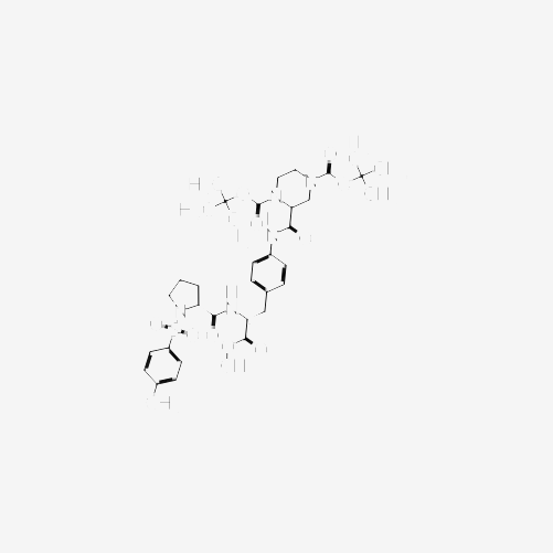 COC(=O)[C@H](Cc1ccc(NC(=O)C2CN(C(=O)OC(C)(C)C)CCN2C(=O)OC(C)(C)C)cc1)NC(=O)[C@@H]1CCCN1S(=O)(=O)c1ccc(C)cc1